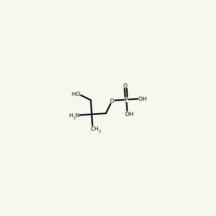 CC(N)(CO)COP(=O)(O)O